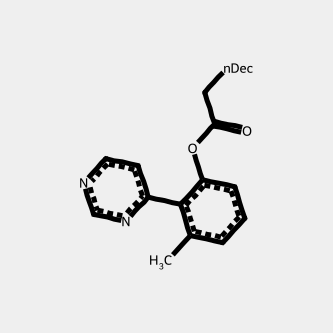 CCCCCCCCCCCC(=O)Oc1cccc(C)c1-c1ccncn1